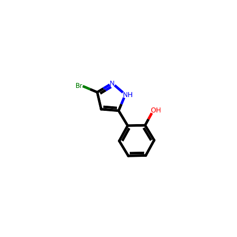 Oc1ccccc1-c1cc(Br)n[nH]1